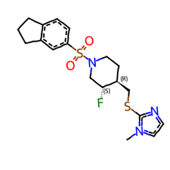 Cn1ccnc1SC[C@@H]1CCN(S(=O)(=O)c2ccc3c(c2)CCC3)C[C@H]1F